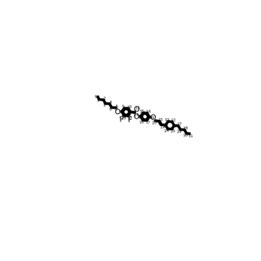 CCCCCCCOc1ccc(C(=O)Oc2ccc(OCC=CC3CCC(CCCCC)CC3)cc2)c(F)c1F